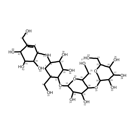 OCC1=CC(NC2CC(CO)C(OC3OC(CO)C(OC4OC(CO)C(O)C(O)C4O)C(O)C3O)C(O)C2O)C(O)C(O)C1O